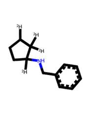 [2H]C1CCC([2H])(NCc2ccccc2)C1([2H])[2H]